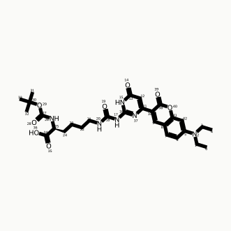 CCN(CC)c1ccc2cc(-c3cc(=O)[nH]c(NC(=O)NCCCC[C@H](NC(=O)OC(C)(C)C)C(=O)O)n3)c(=O)oc2c1